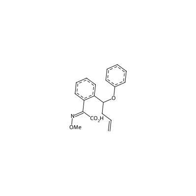 C=CCC(Oc1ccccc1)c1ccccc1C(=NOC)C(=O)O